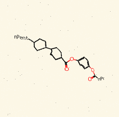 CCCCCC1CCC(C2CCC(C(=O)Oc3ccc(OC(=O)CCC)cc3)CC2)CC1